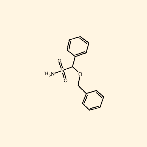 NS(=O)(=O)C(OCc1ccccc1)c1ccccc1